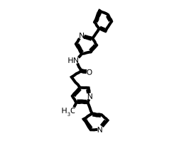 Cc1cc(CC(=O)Nc2ccc(-c3ccccc3)nc2)cnc1-c1ccncc1